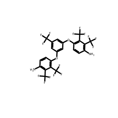 Nc1ccc(Oc2cc(Oc3ccc(N)c(C(F)(F)F)c3C(F)(F)F)cc(C(F)(F)F)c2)c(C(F)(F)F)c1C(F)(F)F